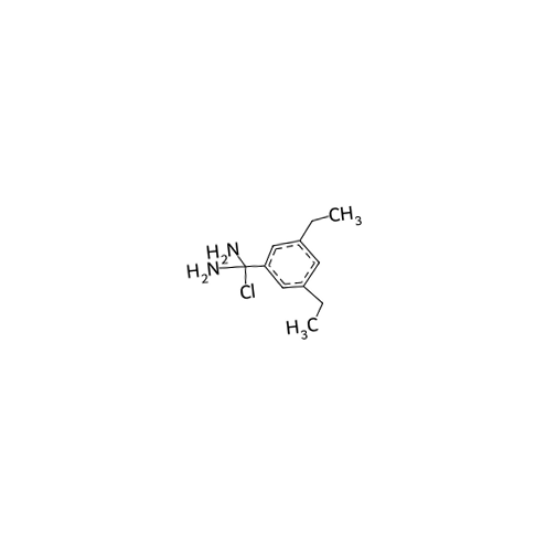 CCc1cc(CC)cc(C(N)(N)Cl)c1